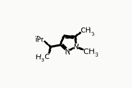 Cc1cc(C(C)C(C)C)nn1C